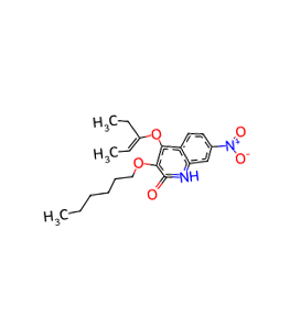 CC=C(CC)Oc1c(OCCCCCC)c(=O)[nH]c2cc([N+](=O)[O-])ccc12